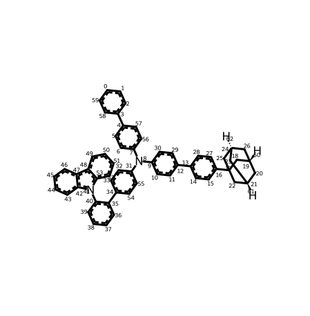 c1ccc(-c2ccc(N(c3ccc(-c4ccc(C56C[C@H]7C[C@H](C5)C[C@@H](C6)C7)cc4)cc3)c3ccc(-c4ccccc4-n4c5ccccc5c5ccccc54)cc3)cc2)cc1